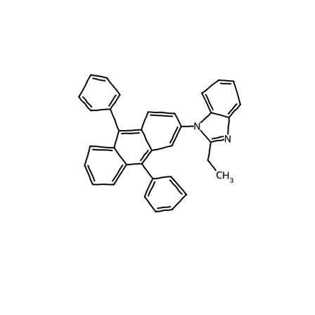 CCc1nc2ccccc2n1-c1ccc2c(-c3ccccc3)c3ccccc3c(-c3ccccc3)c2c1